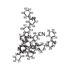 N#Cc1cc(-n2c3cc(-c4ccnc(-c5ccccc5)c4)ccc3c3ccc(-c4ccnc(-c5ccccc5)c4)cc32)c(-c2c(C(F)(F)F)cccc2C(F)(F)F)c(-n2c3cc(-c4ccnc(-c5ccccc5)c4)ccc3c3ccc(-c4ccnc(-c5ccccc5)c4)cc32)c1